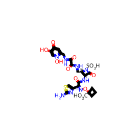 Nc1nc(/C(=N/OC2(C(=O)O)CCC2)C(=O)N[C@@H]2C(=O)N(S(=O)(=O)O)[C@@H]2CNC(=O)C(=O)NCc2cc(=O)c(O)cn2O)cs1